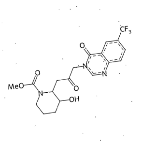 COC(=O)N1CCCC(O)C1CC(=O)Cn1cnc2ccc(C(F)(F)F)cc2c1=O